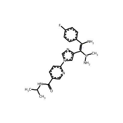 CC(C)NC(=O)c1ccc(-n2cnc(/C(=C(/N)c3ccc(F)cc3)N(C)N)c2)nc1